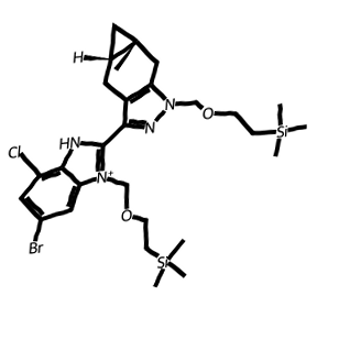 C[C@@]12Cc3c(c(-c4[nH]c5c(Cl)cc(Br)cc5[n+]4COCC[Si](C)(C)C)nn3COCC[Si](C)(C)C)C[C@@H]1C2